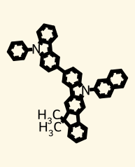 CC1(C)c2ccccc2-c2cc3c(cc21)c1cc(-c2ccc4c(c2)c2ccccc2n4-c2ccccc2)ccc1n3-c1ccc2ccccc2c1